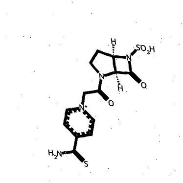 NC(=S)c1cc[n+](CC(=O)N2CC[C@@H]3[C@H]2C(=O)N3S(=O)(=O)O)cc1